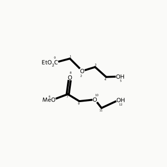 CCOC(=O)COCCO.COC(=O)COCO